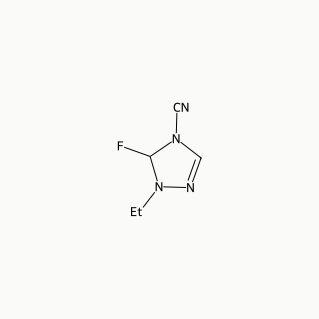 CCN1N=CN(C#N)C1F